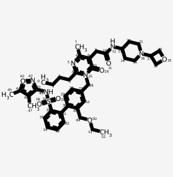 CCCCc1nc(C)c(CC(=O)NC2CCN(C3COC3)CC2)c(=O)n1Cc1ccc(-c2ccccc2S(=O)(=O)Nc2noc(C)c2C)c(COCC)c1